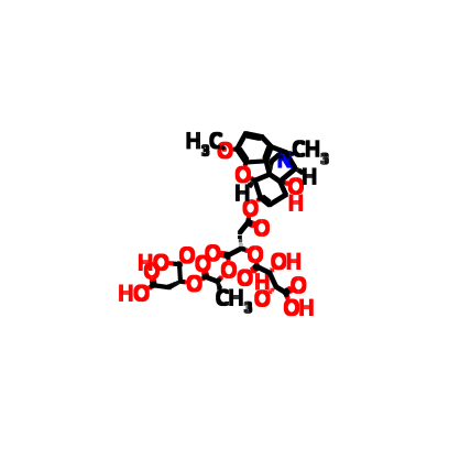 COc1ccc2c3c1O[C@H]1C(OC(=O)C[C@H](OC(=O)[C@H](O)[C@@H](O)C(=O)O)C(=O)O[C@@H](C)C(=O)O[C@@H](CC(=O)O)C(=O)O)=CC[C@@]4(O)[C@@H](C2)N(C)CC[C@]314